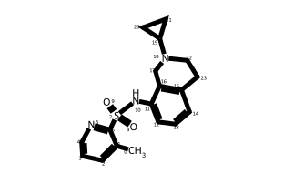 Cc1cccnc1S(=O)(=O)Nc1cccc2c1CN(C1CC1)CC2